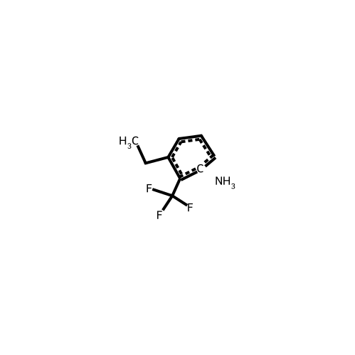 CCc1ccccc1C(F)(F)F.N